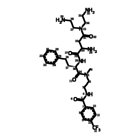 CN(CCNC(=O)c1ccc(C(F)(F)F)cc1)C(=O)[C@H](CCc1ccccc1)NC(=O)C(N)CC(=O)N(CCN)CCN